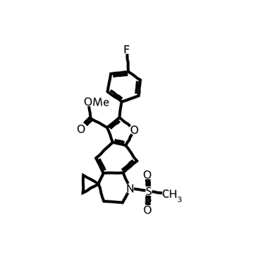 COC(=O)c1c(-c2ccc(F)cc2)oc2cc3c(cc12)C1(CCN3S(C)(=O)=O)CC1